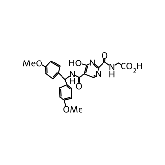 COc1ccc(C(NC(=O)c2cnc(C(=O)NCC(=O)O)nc2O)c2ccc(OC)cc2)cc1